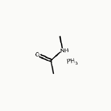 CNC(C)=O.P